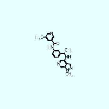 Cc1cncc(C(=O)Nc2cccc([C@H](C)Nc3cncc4c3cnn4C)c2)c1